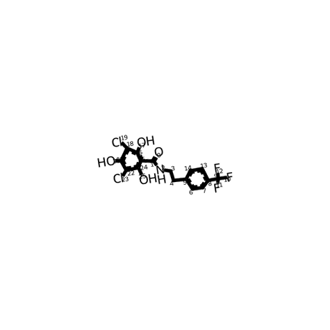 O=C(NCCc1ccc(C(F)(F)F)cc1)c1c(O)c(Cl)c(O)c(Cl)c1O